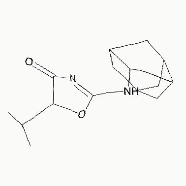 CC(C)C1OC(NC2C3CC4CC(C3)C2C4)=NC1=O